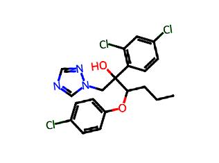 CCCC(Oc1ccc(Cl)cc1)C(O)(Cn1cncn1)c1ccc(Cl)cc1Cl